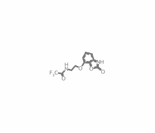 O=C(NCCOc1cccc2[nH]c(=O)oc12)C(F)(F)F